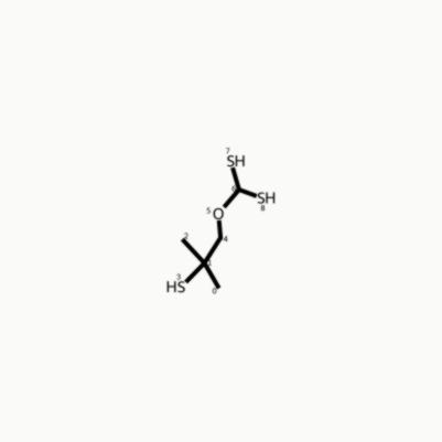 CC(C)(S)COC(S)S